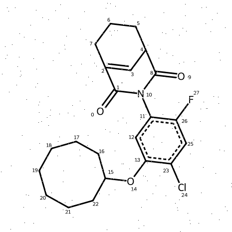 O=C1C2=CC(CCC2)C(=O)N1c1cc(OC2CCCCCCC2)c(Cl)cc1F